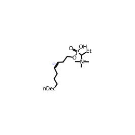 CCCCCCCCCCCCC/C=C\CCOP(=O)(O)C(CC)[N+](C)(C)C